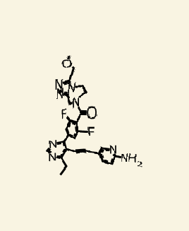 CCc1ncnc(-c2cc(F)c(C(=O)N3CCn4c(COC)nnc4C3)c(F)c2)c1C#Cc1ccc(N)nc1